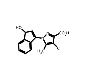 Cc1c(Cl)c(C(=O)O)nn1C1=CC(O)c2ccccc21